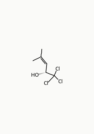 CC(C)=C[C@@H](O)C(Cl)(Cl)Cl